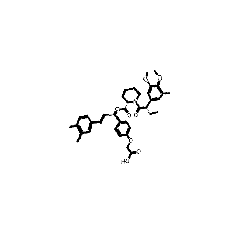 CC[C@H](C(=O)N1CCCC[C@H]1C(=O)O[C@H](CCc1ccc(C)c(C)c1)c1ccc(OCC(=O)O)cc1)c1cc(C)c(OC)c(OC)c1